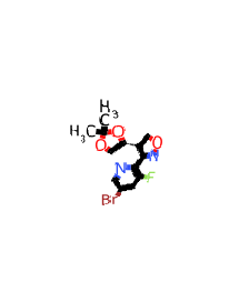 CC1(C)OC[C@@H](C2CON=C2c2ncc(Br)cc2F)O1